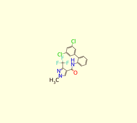 Cn1cc(C(=O)Nc2ccccc2-c2cc(Cl)cc(Cl)c2)c(C(F)(F)F)n1